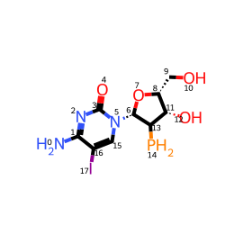 Nc1nc(=O)n([C@@H]2O[C@H](CO)[C@H](O)C2P)cc1I